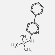 CS(C)(C)Nc1ccc(-c2ccccc2)cn1